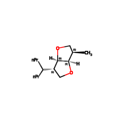 CCCC(CCC)[C@H]1CO[C@H]2[C@@H]1OC[C@H]2C